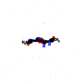 CC(=O)c1ccc(NCCCc2c[nH]c(OC(=O)C(=O)Oc3nc(CCCNc4ccc(C(C)=O)cc4)c[nH]3)n2)cc1